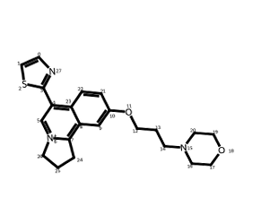 c1csc(-c2c[n+]3c(c4cc(OCCCN5CCOCC5)ccc24)CCC3)n1